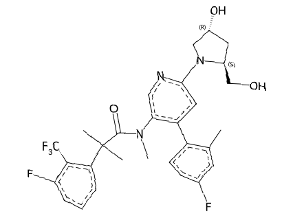 Cc1cc(F)ccc1-c1cc(N2C[C@H](O)C[C@H]2CO)ncc1N(C)C(=O)C(C)(C)c1cccc(F)c1C(F)(F)F